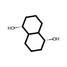 O[C@@H]1CCCC2C1CCC[C@H]2O